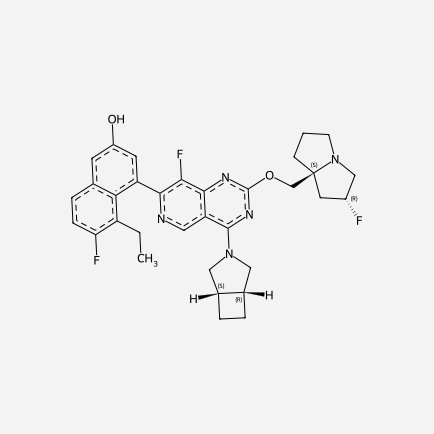 CCc1c(F)ccc2cc(O)cc(-c3ncc4c(N5C[C@H]6CC[C@H]6C5)nc(OC[C@@]56CCCN5C[C@H](F)C6)nc4c3F)c12